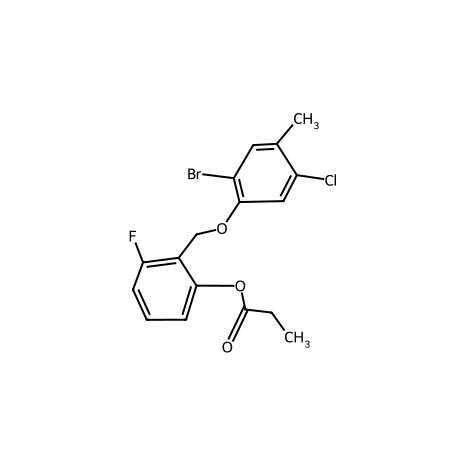 CCC(=O)Oc1cccc(F)c1COc1cc(Cl)c(C)cc1Br